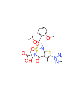 COc1ccccc1[C@H](CN1c2sc(-n3nccn3)c(C)c2C(=O)N(C(C)(C)C(=O)O)S1(=O)=O)OC(C)C